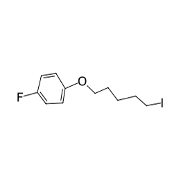 Fc1ccc(OCCCCCI)cc1